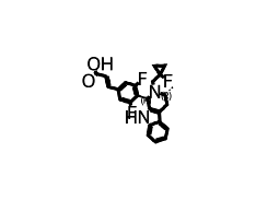 C[C@@H]1Cc2c([nH]c3ccccc23)[C@@H](c2c(F)cc(C=CC(=O)O)cc2F)N1CC1(F)CC1